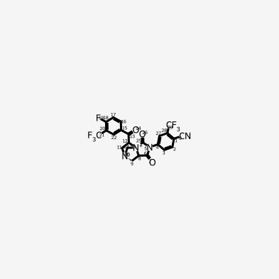 N#Cc1ccc(N2C(=O)C3C[N@]4CC(C(=O)c5ccc(F)c(C(F)(F)F)c5)[N+]3(C4)C2=O)cc1C(F)(F)F